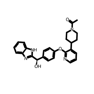 CC(=O)N1CCC(c2cccnc2Oc2ccc([C@@H](O)c3nc4ccccc4[nH]3)cc2)CC1